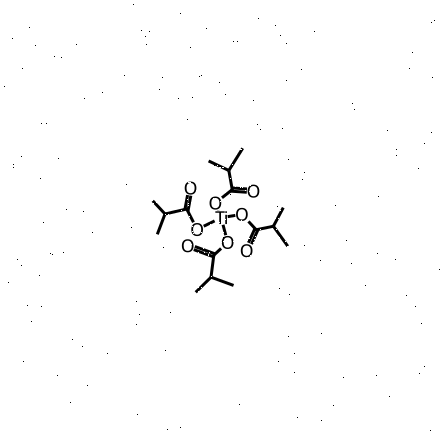 CC(C)C(=O)[O][Ti]([O]C(=O)C(C)C)([O]C(=O)C(C)C)[O]C(=O)C(C)C